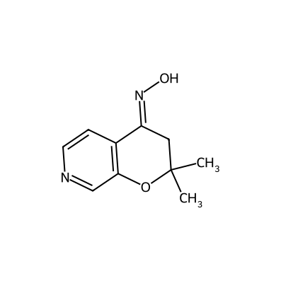 CC1(C)C/C(=N\O)c2ccncc2O1